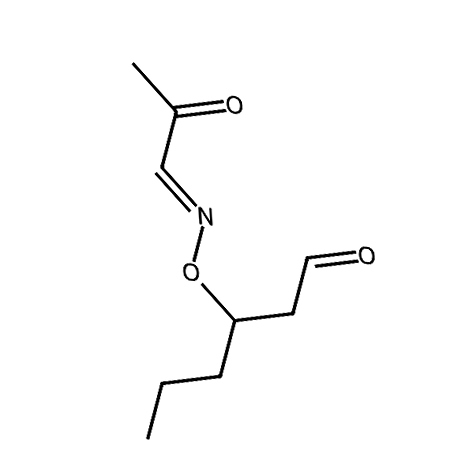 CCCC(CC=O)ON=CC(C)=O